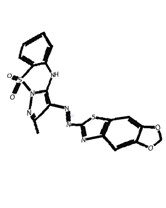 Cc1nn2c(c1/N=N/c1nc3cc4c(cc3s1)OCO4)Nc1ccccc1S2(=O)=O